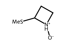 CSC1CC[NH+]1[O-]